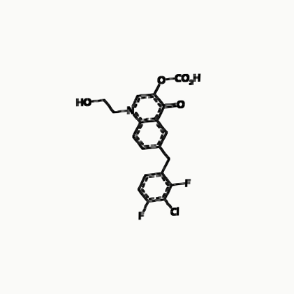 O=C(O)Oc1cn(CCO)c2ccc(Cc3ccc(F)c(Cl)c3F)cc2c1=O